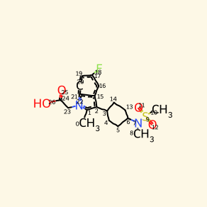 Cc1c(C2CCC(N(C)S(C)(=O)=O)CC2)c2cc(F)ccc2n1CC(=O)O